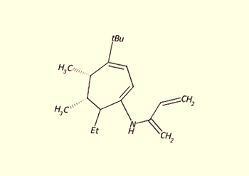 C=CC(=C)NC1=CC=C(C(C)(C)C)[C@@H](C)[C@@H](C)C1CC